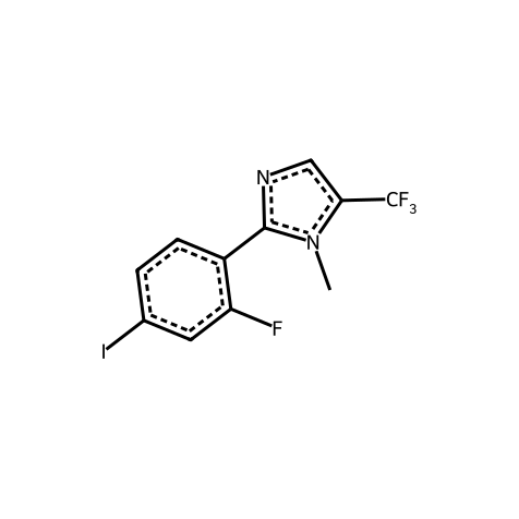 Cn1c(C(F)(F)F)cnc1-c1ccc(I)cc1F